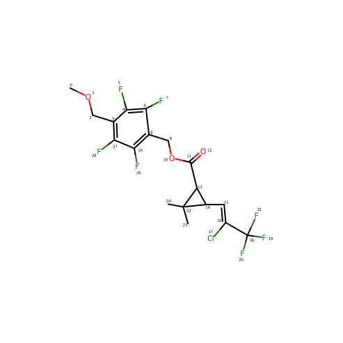 COCc1c(F)c(F)c(COC(=O)C2C(C=C(Cl)C(F)(F)F)C2(C)C)c(F)c1F